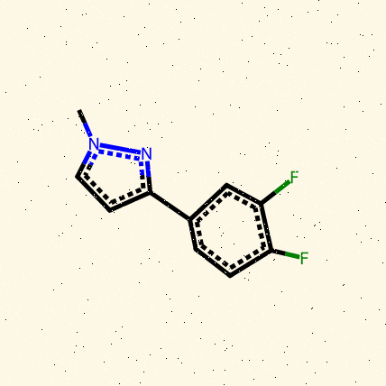 Cn1ccc(-c2ccc(F)c(F)c2)n1